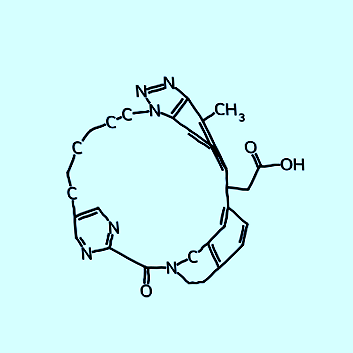 Cc1c2ccc3c1nnn3CCCCCCc1cnc(nc1)C(=O)N1CCc3ccc(cc3C1)C2CC(=O)O